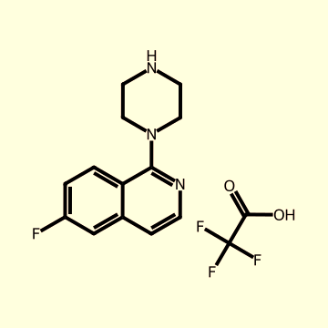 Fc1ccc2c(N3CCNCC3)nccc2c1.O=C(O)C(F)(F)F